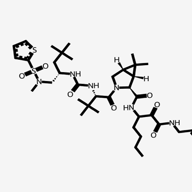 C=CCNC(=O)C(=O)C(CCCC)NC(=O)[C@@H]1[C@@H]2[C@H](CN1C(=O)[C@@H](NC(=O)N[C@H](CN(C)S(=O)(=O)c1cccs1)CC(C)(C)C)C(C)(C)C)C2(C)C